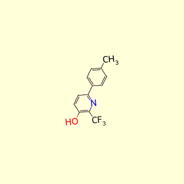 Cc1ccc(-c2ccc(O)c(C(F)(F)F)n2)cc1